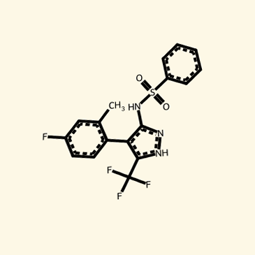 Cc1cc(F)ccc1-c1c(NS(=O)(=O)c2ccccc2)n[nH]c1C(F)(F)F